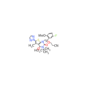 COc1ccc(F)cc1[C@H](Cn1c(=O)n(C(C)(C)C(=O)O)c(=O)c2c(C)c(-n3nccn3)sc21)OCCC#N